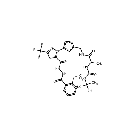 COc1ccccc1C(=O)NNC(=O)c1cc(C(F)(F)F)nn1-c1csc(CNC(=O)C(C)NC(=O)OC(C)(C)C)c1